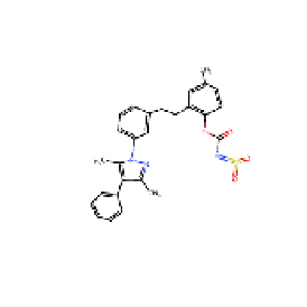 Cc1ccc(OC(=O)N=S(=O)=O)c(CCc2cccc(-n3nc(C)c(-c4ccccc4)c3C)c2)c1